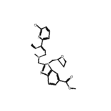 C=C/C(=C\CN(C)Cc1nc2ccc(C(=O)OC)cc2n1C[C@@H]1CCO1)c1cccc(Cl)n1